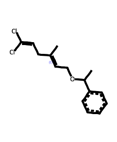 C/C(=C\COC(C)c1ccccc1)CC=C(Cl)Cl